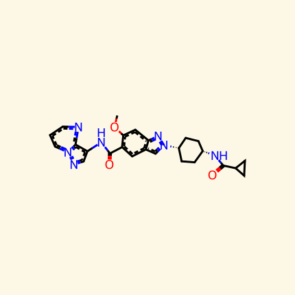 COc1cc2nn([C@H]3CC[C@@H](NC(=O)C4CC4)CC3)cc2cc1C(=O)Nc1cnn2cccnc12